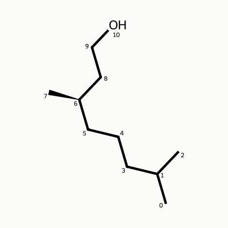 CC(C)CCC[C@@H](C)CCO